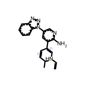 C=CN/C=C(\C=C/C(C)C)c1cc(-n2nnc3ccccc32)cnc1N